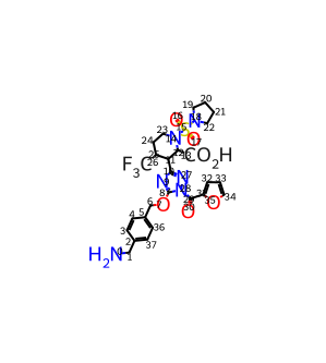 NCc1ccc(COc2nc(C3C(C(=O)O)N(S(=O)(=O)N4CCCC4)CCC3C(F)(F)F)nn2C(=O)c2ccco2)cc1